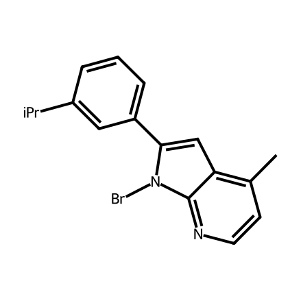 Cc1ccnc2c1cc(-c1cccc(C(C)C)c1)n2Br